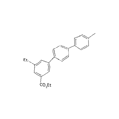 CCOC(=O)c1cc(CC)cc(-c2ccc(-c3ccc(C)cc3)cc2)c1